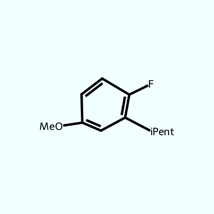 CCCC(C)c1cc(OC)ccc1F